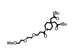 COCCOCCOCCC(=O)N1CCC(CC(=O)C(C)(C)C)(CC(=O)C(C)(C)C)CC1